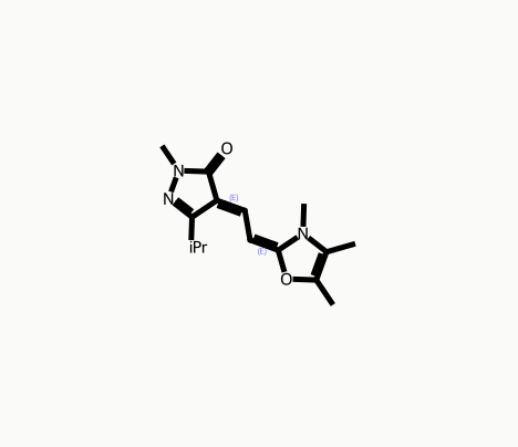 CC1=C(C)N(C)/C(=C\C=C2\C(=O)N(C)N=C2C(C)C)O1